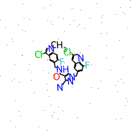 Cn1cc(Cl)c2cc(CNC(=O)c3cn(Cc4cc(F)c5ncc(Cl)cc5c4)nc3C#N)c(F)cc21